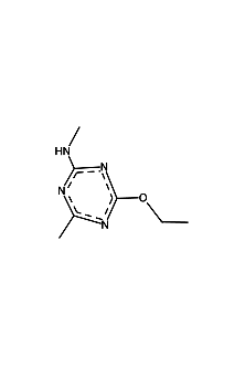 CCOc1nc(C)nc(NC)n1